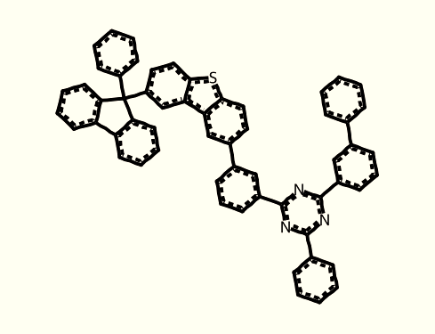 c1ccc(-c2cccc(-c3nc(-c4ccccc4)nc(-c4cccc(-c5ccc6sc7ccc(C8(c9ccccc9)c9ccccc9-c9ccccc98)cc7c6c5)c4)n3)c2)cc1